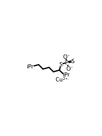 CC(C)CCCCC(SP([O-])([O-])=S)C(C)C.[Cu+2]